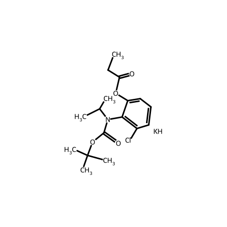 CCC(=O)Oc1cccc(Cl)c1N(C(=O)OC(C)(C)C)C(C)C.[KH]